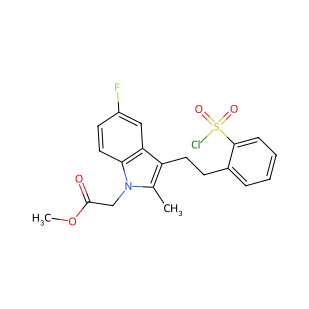 COC(=O)Cn1c(C)c(CCc2ccccc2S(=O)(=O)Cl)c2cc(F)ccc21